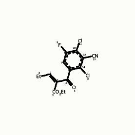 CCC=C(C(=O)OCC)C(=O)c1cc(F)c(Cl)c(C#N)c1Cl